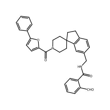 O=Cc1ccccc1C(=O)NCc1ccc2c(c1)C1(CC2)CCN(C(=O)c2ccc(-c3ccccc3)o2)CC1